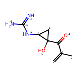 C=C(C)C(=O)C1(O)CC1NC(=N)N